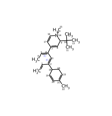 C=C/C(=C\C(=C/C)C1=CC(C(C)(C)C)N(C)C=C1)C1C=CC(C)=CC1